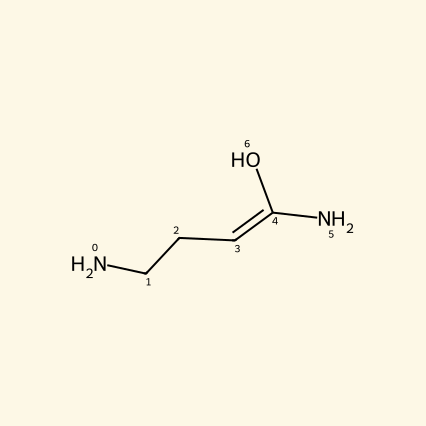 NCCC=C(N)O